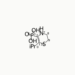 CC(C)C1=C(P(=O)(O)O)NCCS1